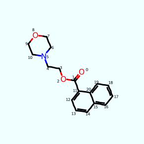 O=C(OCCN1CCOCC1)c1cccc2ccccc12